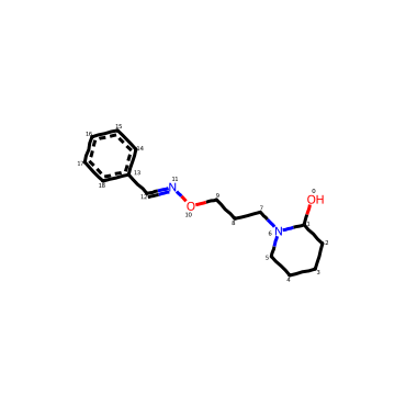 OC1CCCCN1CCCON=Cc1ccccc1